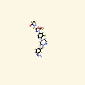 CC(=O)NC[C@H]1CN(c2ccc(N3CCNN(Cc4cccc(N)c4)CC3)c(F)c2)C(=O)O1